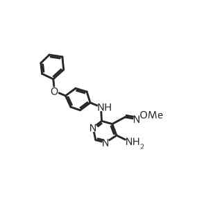 CON=Cc1c(N)ncnc1Nc1ccc(Oc2ccccc2)cc1